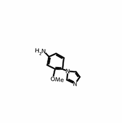 COc1cc(N)ccc1-n1ccnc1